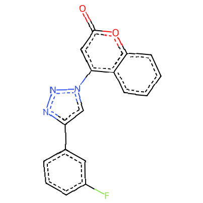 O=c1cc(-n2cc(-c3cccc(F)c3)nn2)c2ccccc2o1